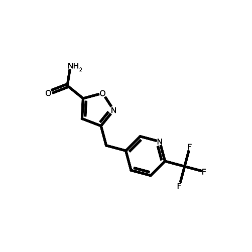 NC(=O)c1cc(Cc2ccc(C(F)(F)F)nc2)no1